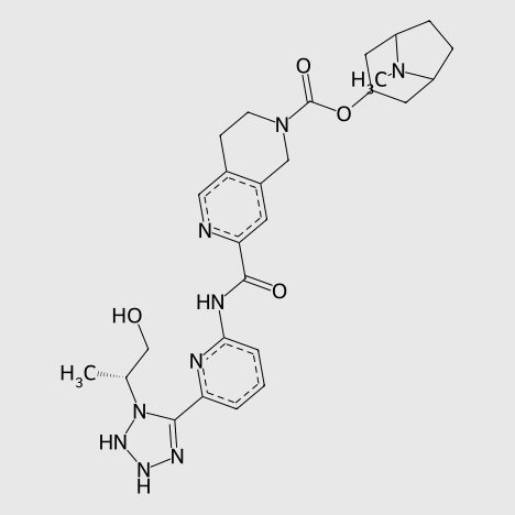 C[C@H](CO)N1NNN=C1c1cccc(NC(=O)c2cc3c(cn2)CCN(C(=O)OC2CC4CCC(C2)N4C)C3)n1